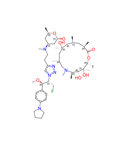 CO[C@H](c1ccc(N2CCCC2)cc1)[C@@H](CF)n1cc(CCN(C)[C@@H]2C[C@H](O[C@@H]3[C@@H](C)C[C@@H](C)C(=O)O[C@H](I)[C@@](C)(O)[C@H](O)[C@@H](C)N(C)C[C@H](C)C[C@@]3(C)O)O[C@H](C)C2)nn1